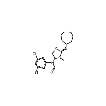 CN1C(=NC2CCCCCC2)SCC1N(C=O)c1cc(Cl)cc(Cl)c1